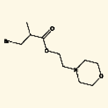 CC(CBr)C(=O)OCCN1CCOCC1